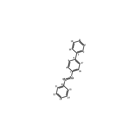 [c]1ccc(-c2ccc(/N=N/c3ccccc3)cc2)cc1